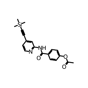 CC(=O)Oc1ccc(C(=O)Nc2cc(C#C[Si](C)(C)C)ccn2)cc1